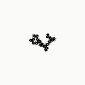 c1ccc(-c2ccc3c(c2)c2ccccc2n3-c2cccc(-c3cccc(-n4c5ccc(-c6ccccc6)cc5c5ccc(-c6ccc(-c7ccc8c9c%10ccccc%10ccc9n(-c9ccc(-c%10ccc(-n%11c%12cc(-c%13cccc%14ccccc%13%14)ccc%12c%12c%13ccccc%13ccc%12%11)cc%10)cc9)c8c7)c7ccccc67)cc54)c3)c2)cc1